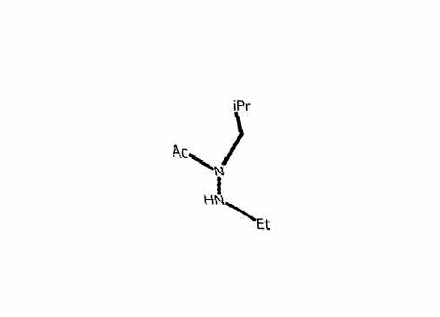 CCNN(CC(C)C)C(C)=O